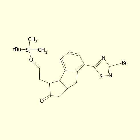 CC(C)(C)[Si](C)(C)OCCC1C(=O)CC2Cc3c(-c4nc(Br)ns4)cccc3C21